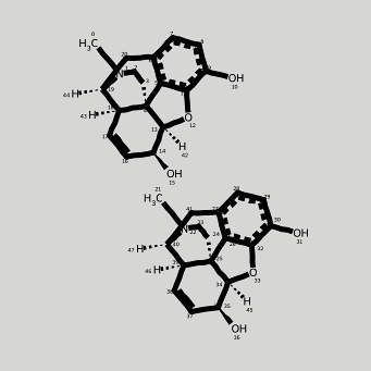 CN1CC[C@]23c4c5ccc(O)c4O[C@H]2[C@@H](O)C=C[C@H]3[C@H]1C5.CN1CC[C@]23c4c5ccc(O)c4O[C@H]2[C@@H](O)C=C[C@H]3[C@H]1C5